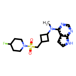 CN(c1ncnc2[nH]ccc12)C1CC(CS(=O)(=O)N2CCC(F)CC2)C1